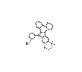 CC1(C)CCC(C)(C)c2cc3c(cc21)c1c2ccccc2c2ccccc2c1n3-c1cccc(Br)c1